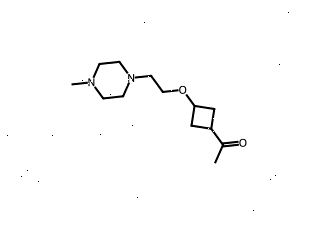 CC(=O)C1CC(OCCN2CCN(C)CC2)C1